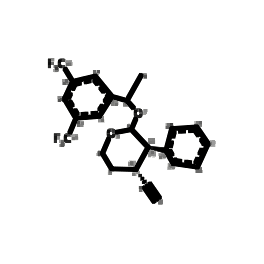 C#C[C@@H]1CCOC(OC(C)c2cc(C(F)(F)F)cc(C(F)(F)F)c2)[C@H]1c1ccccc1